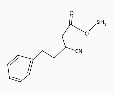 N#CC(CCc1ccccc1)CC(=O)O[SiH3]